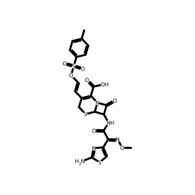 CON=C(C(=O)NC1C(=O)N2C(C(=O)O)=C(C=COS(=O)(=O)c3ccc(C)cc3)CSC12)c1csc(N)n1